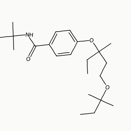 CCC(C)(C)OCCC(C)(CC)Oc1ccc(C(=O)NC(C)(C)C)cc1